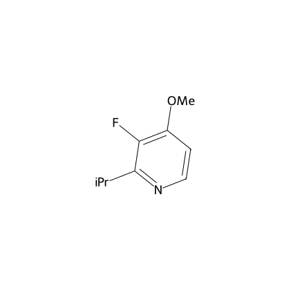 COc1ccnc(C(C)C)c1F